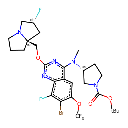 CN(c1nc(OC[C@@]23CCCN2C[C@H](F)C3)nc2c(F)c(Br)c(OC(F)(F)F)cc12)[C@@H]1CCN(C(=O)OC(C)(C)C)C1